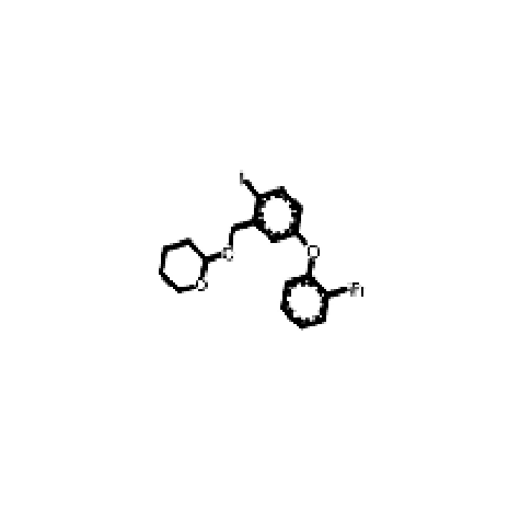 CC(C)c1ccccc1Oc1ccc(I)c(COC2CCCCO2)c1